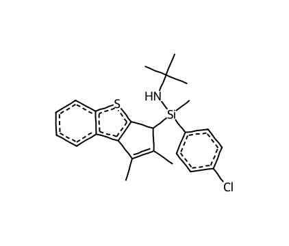 CC1=C(C)C([Si](C)(NC(C)(C)C)c2ccc(Cl)cc2)c2sc3ccccc3c21